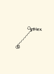 CCCCCC[S+](CCCCCCCCCCCCCCC1CCCCO1)C1CCCCC1